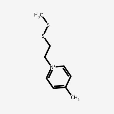 CSSCC[n+]1ccc(C)cc1